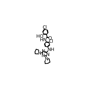 O=C(Nc1ccc(Nc2nc(N3CCCCC3)nc(N3CCCCC3)n2)cc1Cl)c1ccc(Cl)cc1O